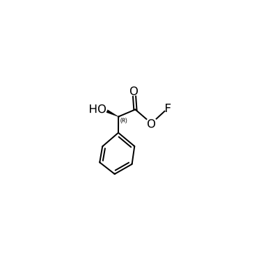 O=C(OF)[C@H](O)c1ccccc1